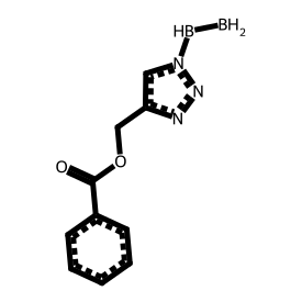 BBn1cc(COC(=O)c2ccccc2)nn1